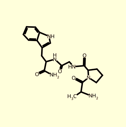 CC(N)C(=O)N1CCCC1C(=O)NCC(=O)NC(Cc1c[nH]c2ccccc12)C(N)=O